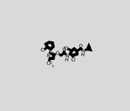 O=C(COc1cc(C(F)(F)F)nn1-c1ccccc1Cl)Nc1c(Cl)cc(C(=O)NC2CC2)cc1Cl